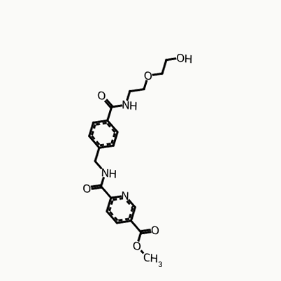 COC(=O)c1ccc(C(=O)NCc2ccc(C(=O)NCCOCCO)cc2)nc1